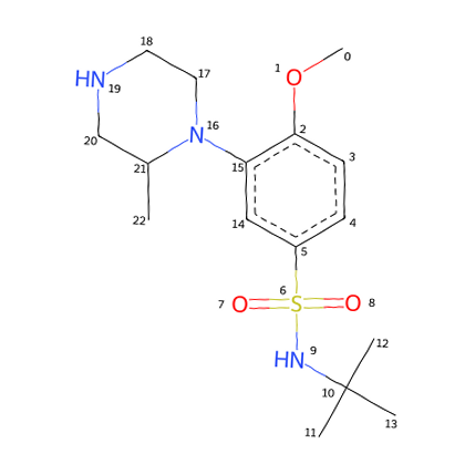 COc1ccc(S(=O)(=O)NC(C)(C)C)cc1N1CCNCC1C